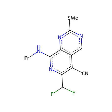 CSc1ncc2c(C#N)c(C(F)F)nc(NC(C)C)c2n1